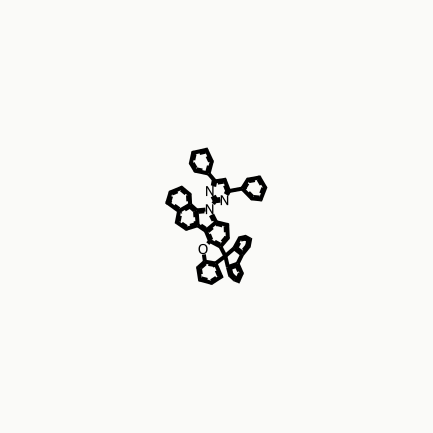 c1ccc(-c2cc(-c3ccccc3)nc(-n3c4ccc5c(c4c4ccc6ccccc6c43)Oc3ccccc3C53c4ccccc4-c4ccccc43)n2)cc1